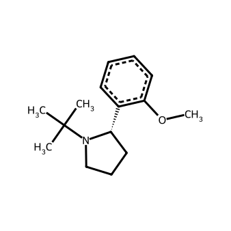 COc1ccccc1[C@@H]1CCCN1C(C)(C)C